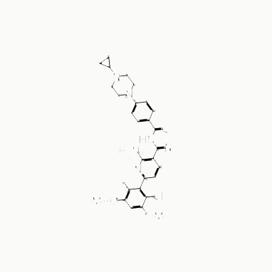 COc1cc(OC)c(Cl)c(-c2ccc(C(=N)NC(=O)c3ccc(N4CCN(C5CC5)CC4)cc3)c(N)n2)c1Cl